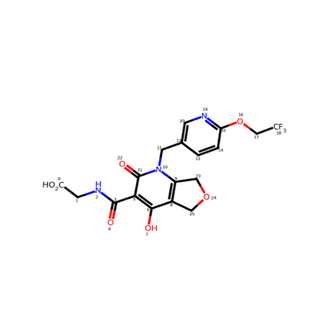 O=C(O)CNC(=O)c1c(O)c2c(n(Cc3ccc(OCC(F)(F)F)nc3)c1=O)COC2